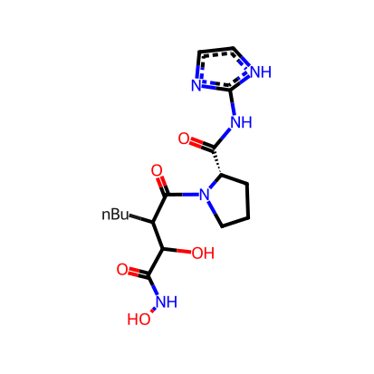 CCCCC(C(=O)N1CCC[C@H]1C(=O)Nc1ncc[nH]1)C(O)C(=O)NO